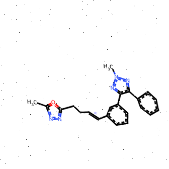 Cc1nnc(CC/C=C/c2cccc(-c3nn(C)nc3-c3ccccc3)c2)o1